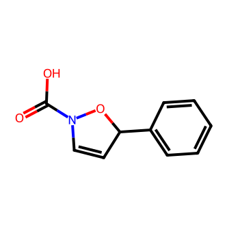 O=C(O)N1C=CC(c2ccccc2)O1